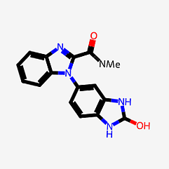 CNC(=O)c1nc2ccccc2n1-c1ccc2c(c1)NC(O)N2